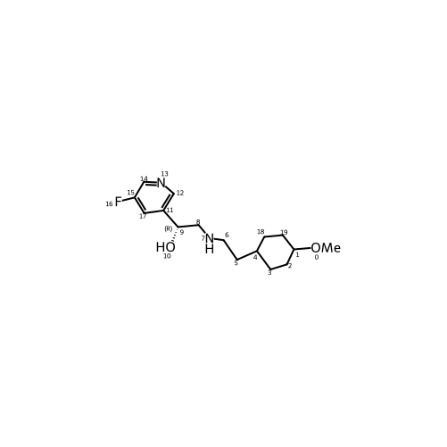 COC1CCC(CCNC[C@H](O)c2cncc(F)c2)CC1